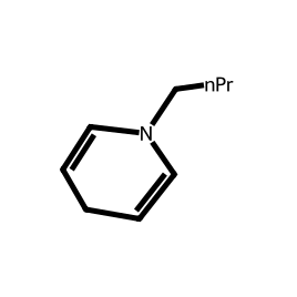 CCCCN1C=CCC=C1